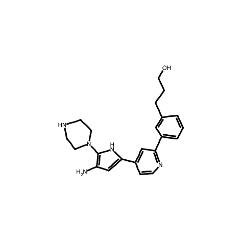 Nc1cc(-c2ccnc(-c3cccc(CCCO)c3)c2)[nH]c1N1CCNCC1